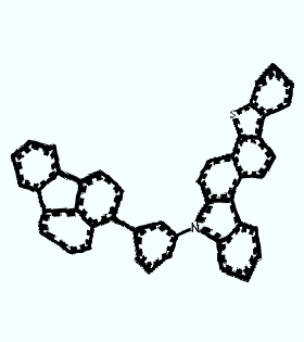 c1cc(-c2ccc3c4c(cccc24)-c2ccccc2-3)cc(-n2c3ccccc3c3c4ccc5c6ccccc6sc5c4ccc32)c1